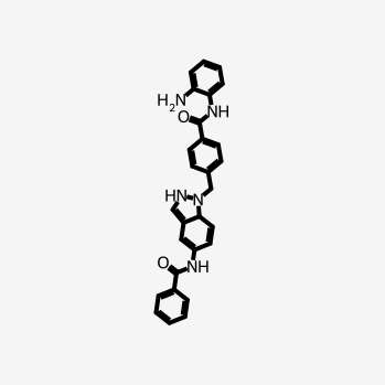 Nc1ccccc1NC(=O)c1ccc(CN2NC=C3C=C(NC(=O)c4ccccc4)C=CC32)cc1